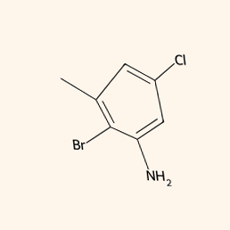 Cc1cc(Cl)cc(N)c1Br